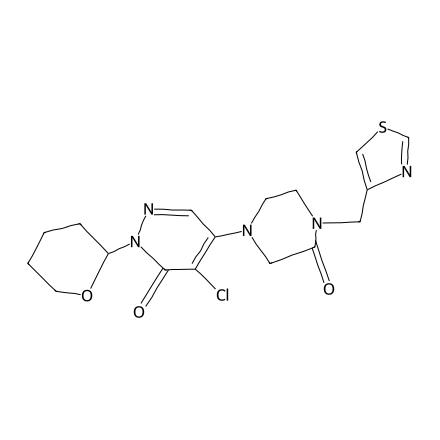 O=C1CN(c2cnn(C3CCCCO3)c(=O)c2Cl)CCN1Cc1cscn1